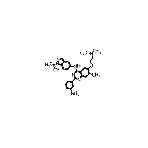 CB(O)n1ncc2cc(Nc3nc(-c4cccc(N)c4)nc4cc(C)c(OCCN(C)C)cc34)ccc21